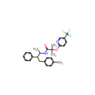 Cc1ccc(CC(c2ccccc2)C(C)NC(=O)C(C)(C)Oc2ccc(C(F)(F)F)cn2)cc1